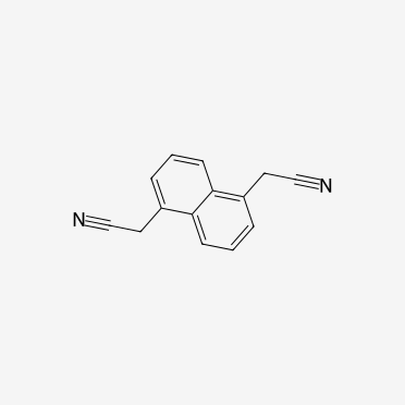 N#CCc1cccc2c(CC#N)cccc12